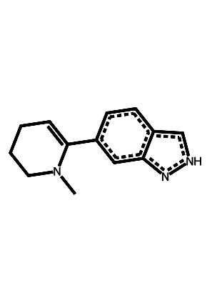 CN1CCCC=C1c1ccc2c[nH]nc2c1